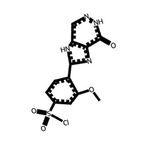 COc1cc(S(=O)(=O)Cl)ccc1-c1nc2c(=O)[nH]ncc2[nH]1